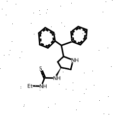 CCNC(=S)N[C@@H]1CNC(C(c2ccccc2)c2ccccc2)C1